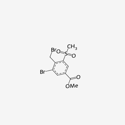 COC(=O)c1cc(Br)c(CBr)c(S(C)(=O)=O)c1